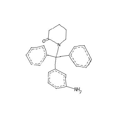 Nc1cccc(C(c2ccccc2)(c2ccccc2)N2CCCCC2=O)c1